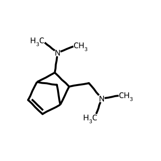 CN(C)CC1C2C=CC(C2)C1N(C)C